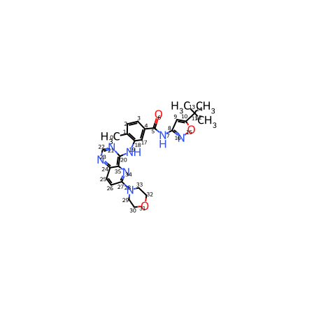 Cc1ccc(C(=O)Nc2cc(C(C)(C)C)on2)cc1Nc1ncnc2ccc(N3CCOCC3)nc12